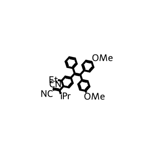 CCC1C=C(C(=C(c2ccc(OC)cc2)c2ccc(OC)cc2)c2ccccc2)C=CC1C(=C(C#N)C#N)C(C)C